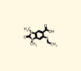 CCSc1cc2c(cc1C(=O)O)n(C)c(=O)n2C